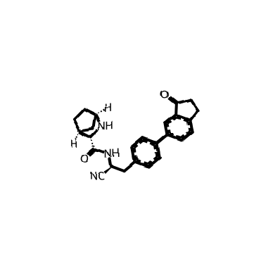 N#C[C@H](Cc1ccc(-c2ccc3c(c2)C(=O)CC3)cc1)NC(=O)[C@H]1N[C@@H]2CC[C@H]1C2